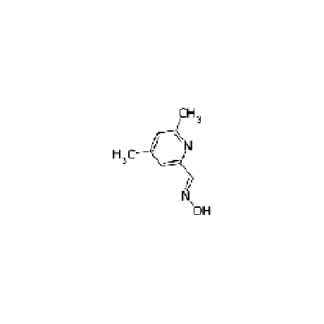 Cc1cc(C)nc(C=NO)c1